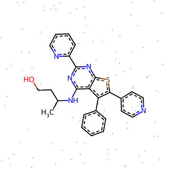 CC(CCO)Nc1nc(-c2ccccn2)nc2sc(-c3ccncc3)c(-c3ccccc3)c12